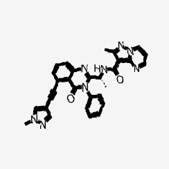 Cc1nn2cccnc2c1C(=O)N[C@H](C)c1nc2cccc(C#Cc3cnn(C)c3)c2c(=O)n1-c1ccccc1